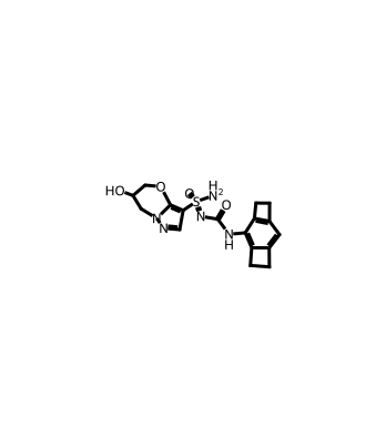 NS(=O)(=NC(=O)Nc1c2c(cc3c1CC3)CC2)c1cnn2c1OCC(O)C2